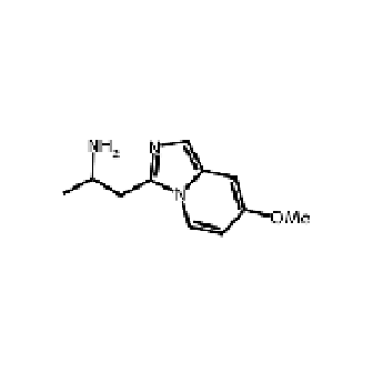 COc1ccn2c(CC(C)N)ncc2c1